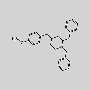 COc1ccc(CC2CCN(Cc3ccccc3)C(Cc3ccccc3)C2)cc1